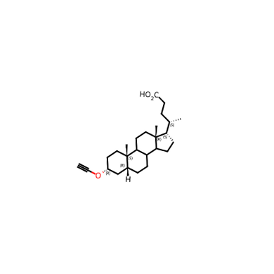 C#CO[C@@H]1CC[C@]2(C)C3CC[C@@]4(C)C(CC[C@H]4[C@@H](C)CCC(=O)O)C3CC[C@@H]2C1